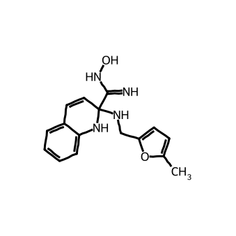 Cc1ccc(CNC2(C(=N)NO)C=Cc3ccccc3N2)o1